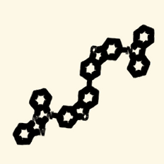 c1ccc2c(c1)nc1n(-c3ccc4oc5ccc(-c6ccc7oc8ccc(-n9c%10ccccc%10c%10ccccc%109)cc8c7c6)cc5c4c3)c3ccccc3n21